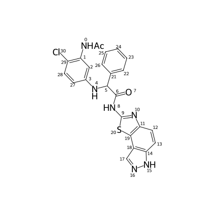 CC(=O)Nc1cc(NC(C(=O)Nc2nc3ccc4[nH]ncc4c3s2)c2ccccc2)ccc1Cl